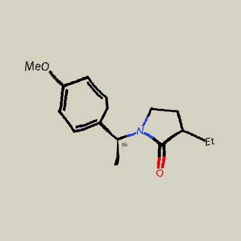 CCC1CCN([C@@H](C)c2ccc(OC)cc2)C1=O